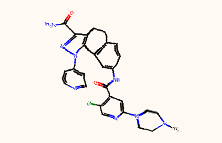 CN1CCN(c2cc(C(=O)Nc3ccc4c(c3)-c3c(c(C(N)=O)nn3-c3ccncc3)CC4)c(Cl)cn2)CC1